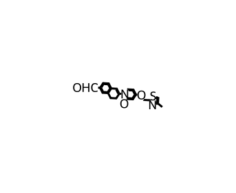 Cc1csc(COc2ccn(C3=Cc4ccc(C=O)cc4CC3)c(=O)c2)n1